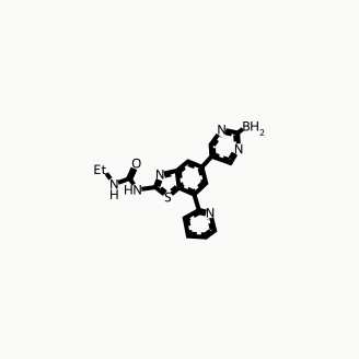 Bc1ncc(-c2cc(-c3ccccn3)c3sc(NC(=O)NCC)nc3c2)cn1